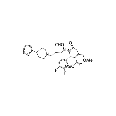 COCC1=C(C(=O)OC)C(c2ccc(F)c(F)c2)N(N(C=O)CCCN2CCC(c3ccccn3)CC2)C(=O)C1